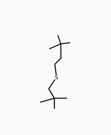 CC(C)(C)CCSCC(C)(C)C